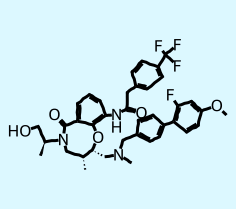 COc1ccc(-c2ccc(CN(C)C[C@H]3Oc4c(NC(=O)Cc5ccc(C(F)(F)F)cc5)cccc4C(=O)N([C@@H](C)CO)C[C@H]3C)cc2)c(F)c1